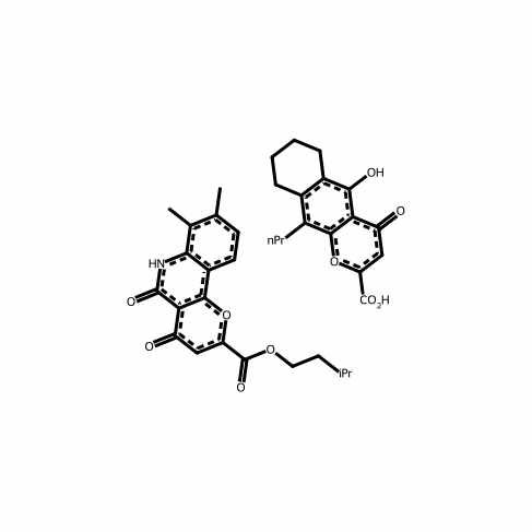 CCCc1c2c(c(O)c3c(=O)cc(C(=O)O)oc13)CCCC2.Cc1ccc2c([nH]c(=O)c3c(=O)cc(C(=O)OCCC(C)C)oc32)c1C